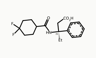 CC[C@@](CC(=O)O)(NC(=O)C1CCC(F)(F)CC1)c1ccccc1